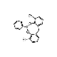 CCc1cccc2c1OP(c1ccccc1)Oc1c(CC)cccc1C2